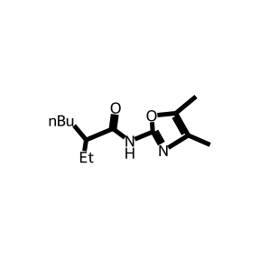 CCCCC(CC)C(=O)Nc1nc(C)c(C)o1